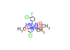 COc1cc(Cl)cnc1NC(c1ccc(F)c(Cl)c1)c1nc(S(C)(=O)=O)c(C)[nH]1